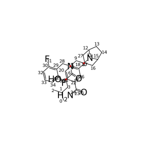 CC(C)C[C@H](O)C(=O)N(CCN1C2CCC1CC(c1cccc(C(N)=O)c1)C2)Cc1c(F)cccc1F